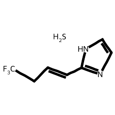 FC(F)(F)CC=Cc1ncc[nH]1.S